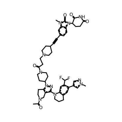 CC(=O)N1CCc2c(c(N3CCCc4cc(-c5cnn(C)c5)c(C(F)F)cc43)nn2C2CCN(C(=O)CCN3CCC(C#Cc4ccc5c(c4)n(C)c(=O)n5C4CCC(=O)NC4=O)CC3)CC2)C1